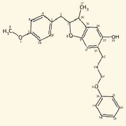 COc1ccc(CC2Oc3cc(CCCOc4ccccc4)c(O)cc3C2C)cc1